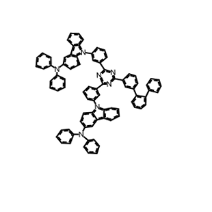 c1ccc(-c2ccccc2-c2cccc(-c3nc(-c4cccc(-n5c6ccccc6c6cc(N(c7ccccc7)c7ccccc7)ccc65)c4)nc(-c4cccc(-n5c6ccccc6c6cc(N(c7ccccc7)c7ccccc7)ccc65)c4)n3)c2)cc1